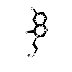 O=C(O)C=Cn1cnc2ccc(Cl)cc2c1=O